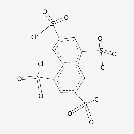 O=S(=O)(Cl)c1cc(S(=O)(=O)Cl)c2cc(S(=O)(=O)Cl)cc(S(=O)(=O)Cl)c2c1